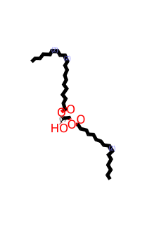 CCCCC/C=C\C/C=C\CCCCCCCCCC(=O)O[C@@H](CO)COC(=O)CCCCCCC/C=C\CCCCCC